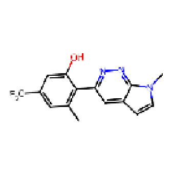 Cc1cc(C(F)(F)F)cc(O)c1-c1cc2ccn(C)c2nn1